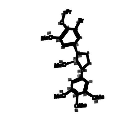 CCCOc1c(Br)cc([C@H]2CC[C@H](c3cc(OC)c(OC)c(OC)c3)[C@@H]2OC)cc1OC